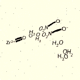 O.O.O.O.O.O=[N+]([O-])[O-].O=[N+]([O-])[O-].[O]=[Zr+2]